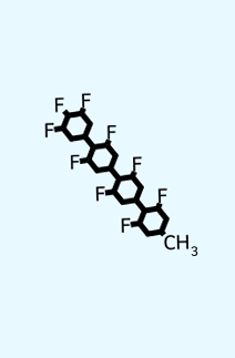 CC1CC(F)C(C2CC(F)C(C3CC(F)C(C4CC(F)C(F)C(F)C4)C(F)C3)C(F)C2)C(F)C1